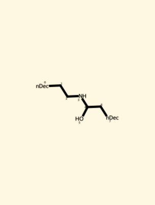 CCCCCCCCCCCCNC(O)CCCCCCCCCCC